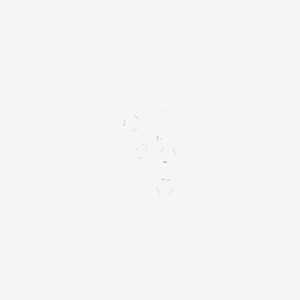 O=S(=O)(F)CCNc1ccc(Cc2ccccc2)cc1-c1ccn(Cc2cccnc2)n1